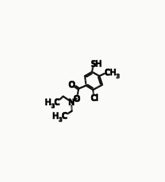 CCN(CC)OC(=O)c1cc(S)c(C)cc1Cl